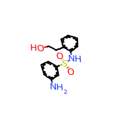 Nc1cccc(S(=O)(=O)Nc2ccccc2CCO)c1